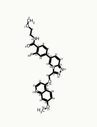 COCCNC(=O)c1ccc(-c2ccc3nnc(COc4ccnc5cc(OC)ccc45)n3c2)cc1F